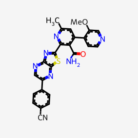 COc1cnccc1-c1cc(C)nc(-c2nc3ncc(-c4ccc(C#N)cc4)nc3s2)c1C(N)=O